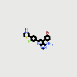 Nc1ncnc2nc(-c3ccc(C4CNCCS4)c(F)c3)cc(-c3cccc(Br)c3)c12